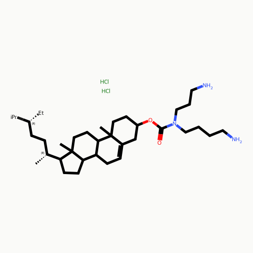 CC[C@H](CC[C@@H](C)C1CCC2C3CC=C4CC(OC(=O)N(CCCN)CCCCN)CCC4(C)C3CCC21C)C(C)C.Cl.Cl